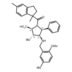 COc1ccc(C(C)(C)C)cc1CN[C@H]1[C@H](C(C)(C)C)[C@@H](C(=O)O)N(C(=O)C2(C)CCc3cc(C)ccc32)[C@H]1c1ccccc1